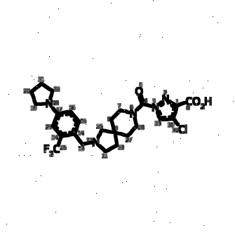 O=C(O)c1nn(C(=O)N2CCC3(CCN(Cc4ccc(N5CCCC5)cc4C(F)(F)F)C3)CC2)cc1Cl